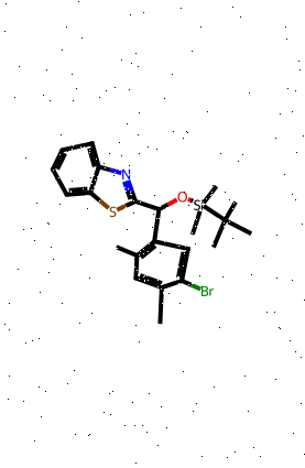 Cc1cc(C)c(C(O[Si](C)(C)C(C)(C)C)c2nc3ccccc3s2)cc1Br